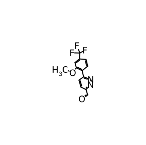 COc1cc(C(F)(F)F)ccc1-c1ccc(C=O)nn1